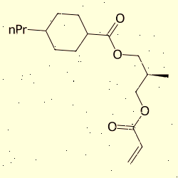 C=CC(=O)OC[C@H](C)COC(=O)C1CCC(CCC)CC1